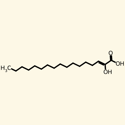 CCCCCCCCCCCCCC/C=C(\O)C(=O)O